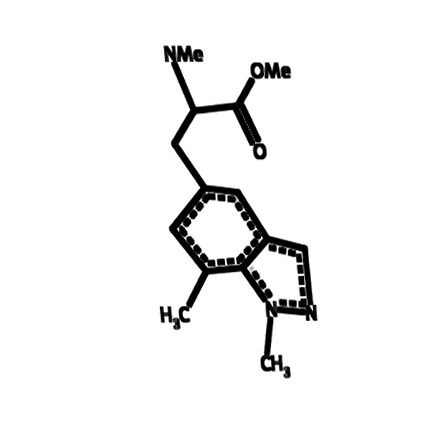 CNC(Cc1cc(C)c2c(cnn2C)c1)C(=O)OC